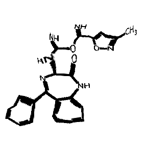 Cc1cc(C(=N)OC(=N)NC2N=C(c3ccccc3)c3ccccc3NC2=O)on1